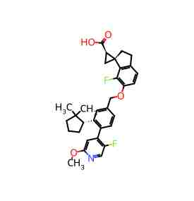 COc1cc(-c2ccc(COc3ccc4c(c3F)[C@]3(CC4)C[C@H]3C(=O)O)cc2[C@@H]2CCCC2(C)C)c(F)cn1